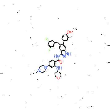 Cc1cc(-c2cc3[nH]nc(NC(=O)c4ccc(N5CCN(C)CC5)cc4NC4CCOCC4)c3cc2Cc2cc(F)cc(F)c2)ccc1O